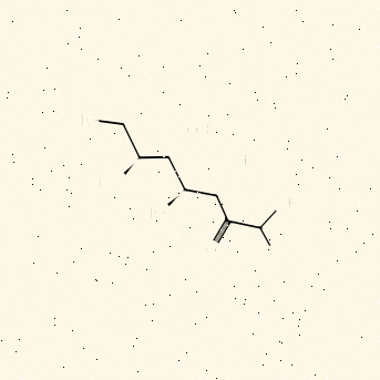 CC(C)C(=O)[C@@H](O)[C@@H](O)[C@@H](O)[C@@H](O)CO